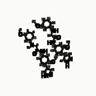 COc1cccc(N(C)CC(=O)Nc2ccc(-c3cn[nH]c3)c(OC)c2)c1.COc1cccc(NCC(=O)Nc2ccc(-c3cn[nH]c3)c(OC)c2)c1